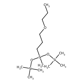 CCCOCCC[Si](C)(O[Si](C)(C)C)O[Si](C)(C)C